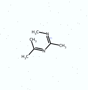 C/N=C(/C)N=C(C)C